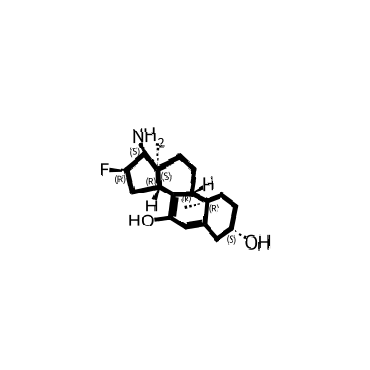 C[C@]12CC[C@H]3C(=C(O)C=C4C[C@@H](O)CC[C@@]43C)[C@@H]1C[C@@H](F)[C@H]2N